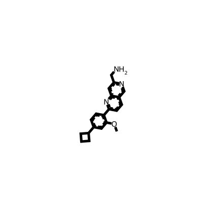 COc1cc(C2CCC2)ccc1-c1ccc2cnc(CN)cc2n1